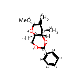 C=C1[C@@H](OC)O[C@@H]2CO[C@@H](c3ccccc3)O[C@H]2[C@@H]1C